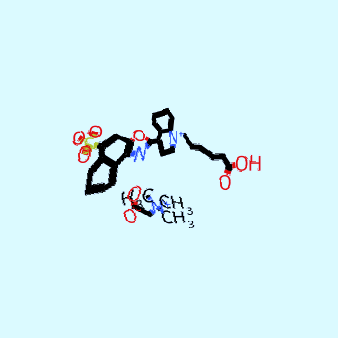 C[N+](C)(C)CC(=O)[O-].O=C(O)CCCCC[n+]1ccc(-c2nc3c(cc(S(=O)(=O)[O-])c4ccccc43)o2)c2ccccc21